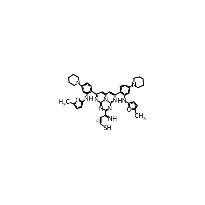 Cc1ccc(Nc2cc(N3CCCCC3)ccc2C2=CC3=CC(c4ccc(N5CCCCC5)cc4Nc4ccc(C)o4)=NC4=NC(C(=N)/C=C\S)=NC(=N2)N34)o1